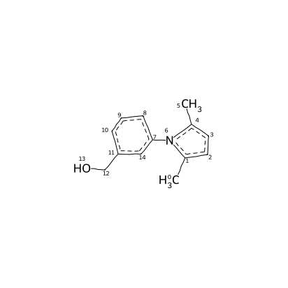 Cc1ccc(C)n1-c1cccc(CO)c1